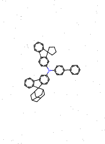 c1ccc(-c2ccc(N(c3ccc4c(c3)-c3ccccc3C43C4CC5CC(C4)CC3C5)c3ccc4c(c3)C3(CCCC3)c3ccccc3-4)cc2)cc1